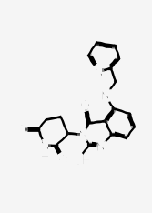 Cc1nc2cccc(NCc3ccccn3)c2c(=O)n1C1CCC(=O)NC1=O